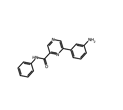 Nc1cccc(-c2cncc(C(=O)Nc3ccccc3)n2)c1